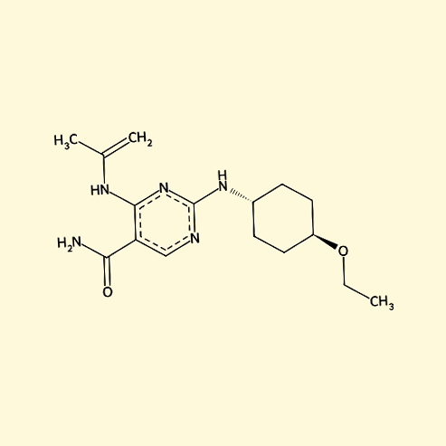 C=C(C)Nc1nc(N[C@H]2CC[C@H](OCC)CC2)ncc1C(N)=O